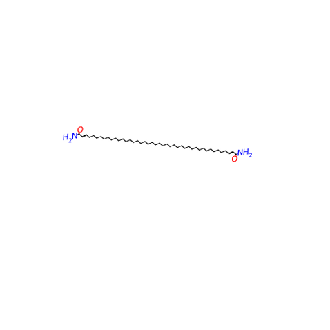 NC(=O)C=CCCCCCCCCCCCCCCCCCCCCCCCCCCCCCCCCCCCCCCC=CC(N)=O